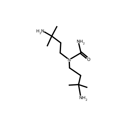 CC(C)(N)CCN(CCC(C)(C)N)C(N)=O